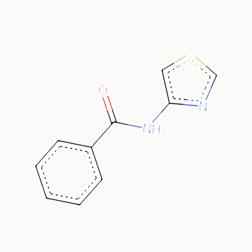 O=C(Nc1cscn1)c1ccccc1